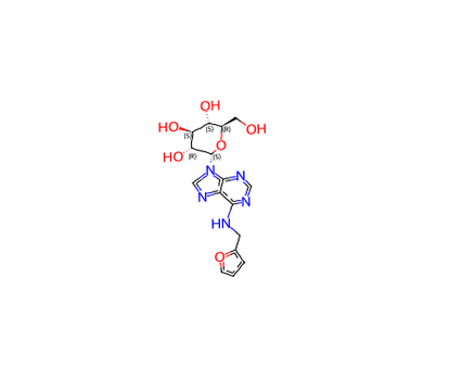 OC[C@H]1O[C@H](n2cnc3c(NCc4ccco4)ncnc32)[C@H](O)[C@@H](O)[C@@H]1O